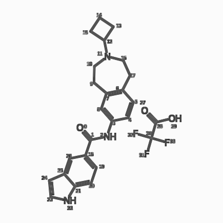 O=C(Nc1ccc2c(c1)CCN(C1CCC1)CC2)c1ccc2[nH]ccc2c1.O=C(O)C(F)(F)F